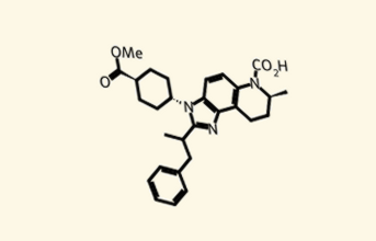 COC(=O)[C@H]1CC[C@H](n2c(C(C)Cc3ccccc3)nc3c4c(ccc32)N(C(=O)O)[C@@H](C)CC4)CC1